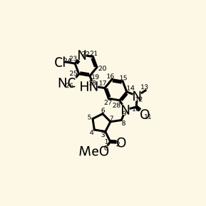 COC(=O)C1CCCC1Cn1c(=O)n(C)c2ccc(Nc3ccnc(Cl)c3C#N)cc21